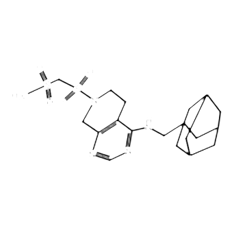 CS(=O)(=O)CS(=O)(=O)N1CCc2c(ncnc2NCC23CC4CC(CC(C4)C2)C3)C1